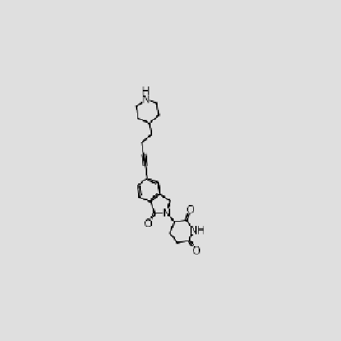 O=C1CCC(N2Cc3cc(C#CCCC4CCNCC4)ccc3C2=O)C(=O)N1